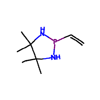 C=CP1NC(C)(C)C(C)(C)N1